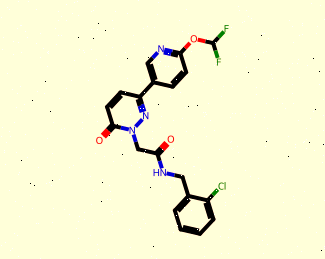 O=C(Cn1nc(-c2ccc(OC(F)F)nc2)ccc1=O)NCc1ccccc1Cl